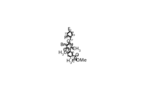 CON(C)C(=O)c1ccc(C)c(-n2c(C)nc(OCc3ccc(F)cc3F)c(Br)c2=O)c1